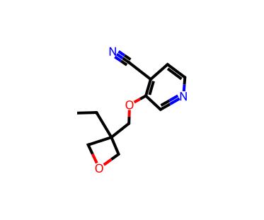 CCC1(COc2cnccc2C#N)COC1